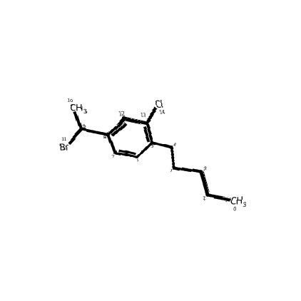 CCCCCc1ccc(C(C)Br)cc1Cl